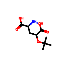 CC(C)(C)OC(C[C@H](N)C(=O)O)C(=O)O